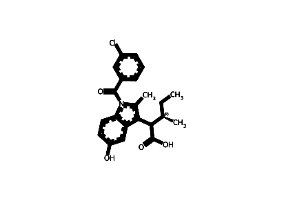 CC[C@@H](C)C(C(=O)O)c1c(C)n(C(=O)c2cccc(Cl)c2)c2ccc(O)cc12